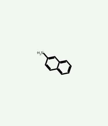 [SiH2]c1ccc2ccccc2c1